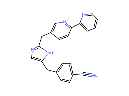 N#Cc1ccc(Cc2cnc(Cc3ccc(-c4ccccn4)nc3)[nH]2)cc1